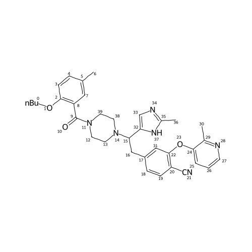 CCCCOc1ccc(C)cc1C(=O)N1CCN(C(Cc2ccc(C#N)c(Oc3cccnc3C)c2)c2cnc(C)[nH]2)CC1